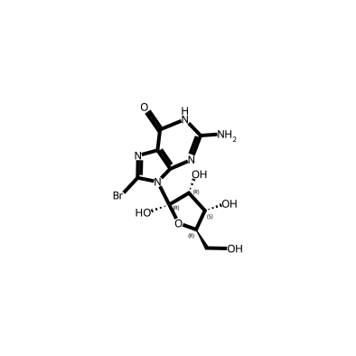 Nc1nc2c(nc(Br)n2[C@]2(O)O[C@H](CO)[C@@H](O)[C@H]2O)c(=O)[nH]1